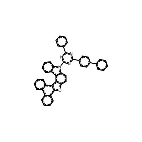 c1ccc(-c2ccc(-c3nc(-c4ccccc4)nc(-n4c5ccccc5c5c6c(ccc54)oc4c5ccccc5c5ccccc5c46)n3)cc2)cc1